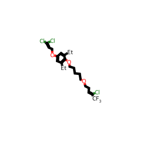 CCc1cc(OCC=C(Cl)Cl)cc(CC)c1OCCCCCOCC/C=C(\Cl)C(F)(F)F